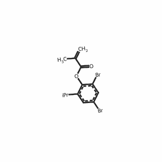 C=C(C)C(=O)Oc1c(Br)cc(Br)cc1C(C)C